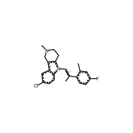 C/C(=C\n1c2c(c3cc(Cl)ccc31)CN(C)CC2)c1ccc(F)cc1C